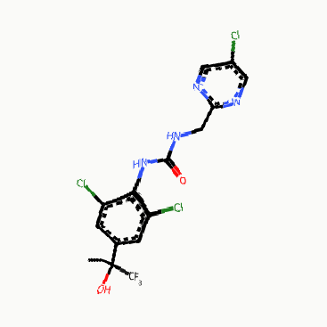 CC(O)(c1cc(Cl)c(NC(=O)NCc2ncc(Cl)cn2)c(Cl)c1)C(F)(F)F